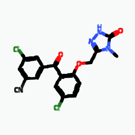 [C-]#[N+]c1cc(Cl)cc(C(=O)c2cc(Cl)ccc2OCc2n[nH]c(=O)n2C)c1